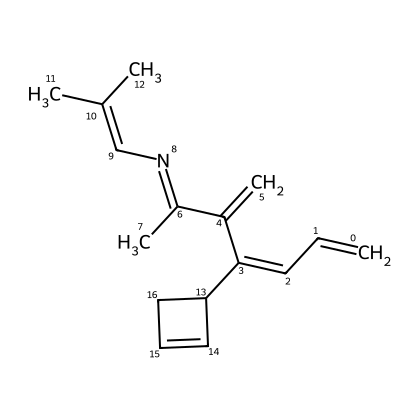 C=C/C=C(\C(=C)/C(C)=N/C=C(C)C)C1C=CC1